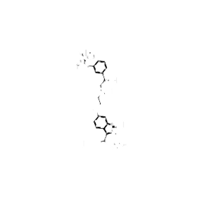 COC(C)c1n[nH]c2cc(OCCNC[C@H](O)c3cccc(NS(C)(=O)=O)c3)ccc12